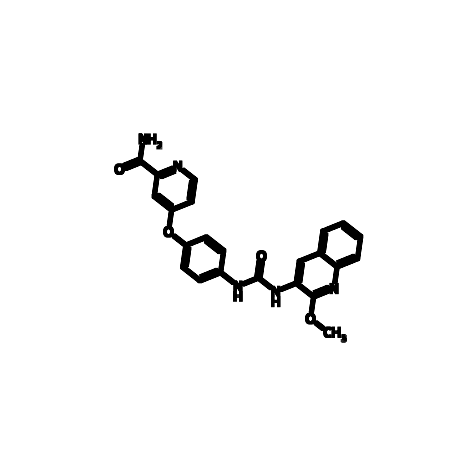 COc1nc2ccccc2cc1NC(=O)Nc1ccc(Oc2ccnc(C(N)=O)c2)cc1